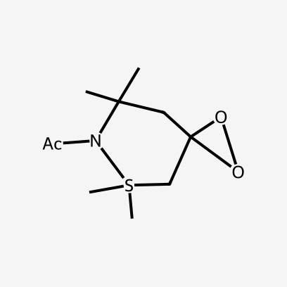 CC(=O)N1C(C)(C)CC2(CS1(C)C)OO2